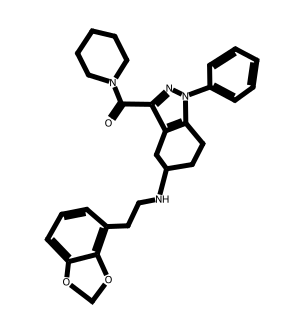 O=C(c1nn(-c2ccccc2)c2c1CC(NCCc1cccc3c1OCO3)CC2)N1CCCCC1